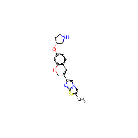 Cc1cn2cc(C3=Cc4ccc(O[C@@H]5CCNC5)cc4OC3)nc2s1